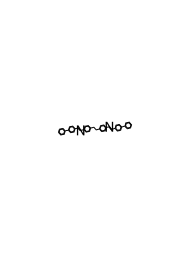 C(=N\c1ccc(CCc2ccc(/N=C/c3ccc(-c4ccccc4)cc3)cc2)cc1)/c1ccc(-c2ccccc2)cc1